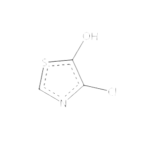 Oc1scnc1Cl